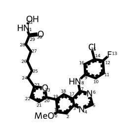 COc1cc2ncnc(Nc3ccc(F)c(Cl)c3)c2cc1-c1ccc(CCCCCC(=O)NO)o1